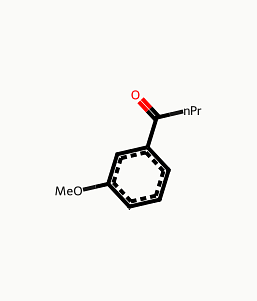 CCCC(=O)c1cc[c]c(OC)c1